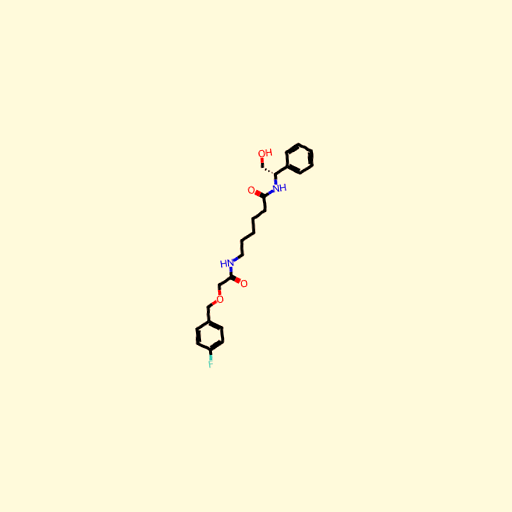 O=C(COCc1ccc(F)cc1)NCCCCCC(=O)N[C@H](CO)c1ccccc1